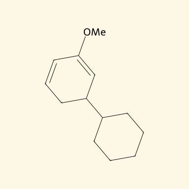 COC1=CC(C2CCCCC2)CC=C1